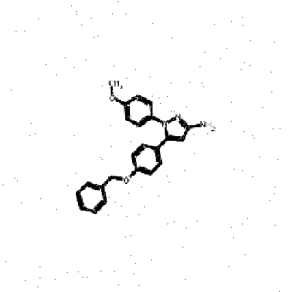 COc1ccc(-n2nc(N)cc2-c2ccc(OCc3ccccc3)cc2)cc1